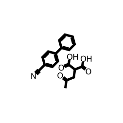 CC(=O)CC(C(=O)O)C(=O)O.N#Cc1ccc(-c2ccccc2)cc1